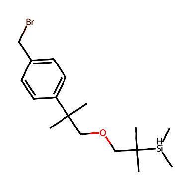 C[SiH](C)C(C)(C)COCC(C)(C)c1ccc(CBr)cc1